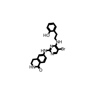 O=C1NCCc2cc(Nc3ncc(Br)c(NCCc4ccccc4O)n3)ccc21